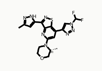 Cc1cc(-c2nsc3c(-c4cn(C(F)F)nn4)cc(N4CCOC[C@H]4C)nc23)[nH]n1